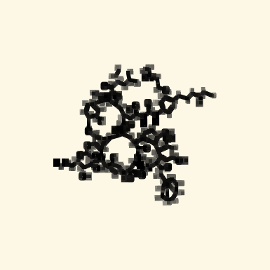 CCNCCCc1ccc(NC(=O)NC(=O)C[C@@H]2CC(=O)[C@H](NC(=O)[C@H](CC)CC(C)C)[C@H](O)c3ccc(c(Cl)c3)Oc3cc4cc(c3O[C@@H]3O[C@H](CN)[C@@H](O)[C@H](O)[C@H]3O)Oc3ccc(cc3Cl)[C@@H](O)[C@@H]3NC(=O)[C@H](CC(=O)[C@@H]4NC2=O)c2ccc(O)c(c2)-c2c(O)cc(O)cc2[C@@H](C(=O)CC2C4CC5CC(C4)CC2C5)NC3=O)cc1OCCNCC